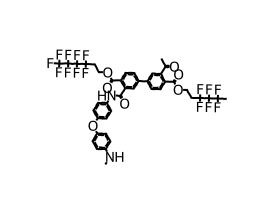 CNc1ccc(Oc2ccc(NC(=O)c3cc(-c4ccc(C(=O)OCCC(F)(F)C(F)(F)C(C)(F)F)c(C(C)=O)c4)ccc3C(=O)OCCC(F)(F)C(F)(F)C(F)(F)C(F)(F)F)cc2)cc1